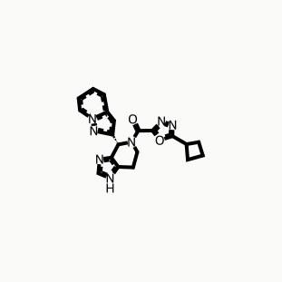 O=C(c1nnc(C2CCC2)o1)N1CCc2[nH]cnc2[C@@H]1c1cc2ccccn2n1